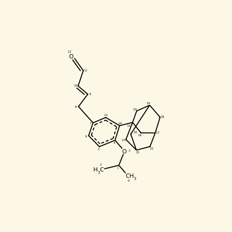 CC(C)Oc1ccc(C/C=C/C=O)cc1C12CC3CC(CC(C3)C1)C2